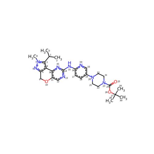 CC(C)c1c2c(nn1C)COc1cnc(Nc3ccc(N4CCN(C(=O)OC(C)(C)C)CC4)cn3)nc1-2